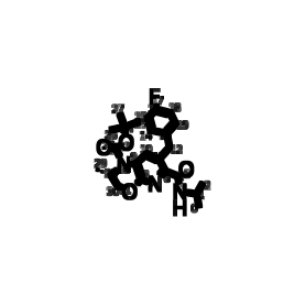 CC(C)NC(=O)c1nc2c(cc1Cc1ccc(F)cc1)N(C(=O)OC(C)(C)C)[C@@H](C)CO2